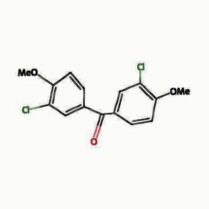 COc1ccc(C(=O)c2ccc(OC)c(Cl)c2)cc1Cl